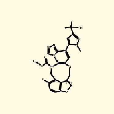 Cn1nc(C(C)(C)C#N)cc1-c1cc2c(n3cnnc13)N(C(=O)OC(C)(C)C)Cc1c(F)ccc3c1[C@H](CO3)CO2